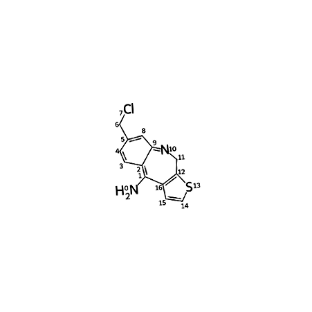 NC1=c2ccc(CCl)cc2=NCc2sccc21